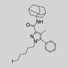 Cc1c(C(=O)NC23CC4CC(CC(C4)C2)C3)nn(CCCCCI)c1-c1ccccc1